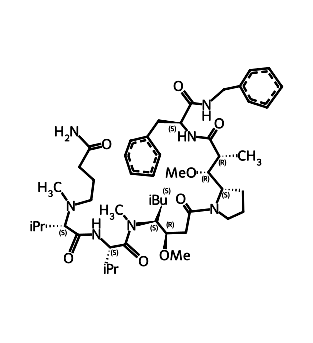 CC[C@H](C)[C@@H]([C@@H](CC(=O)N1CCC[C@H]1[C@H](OC)[C@@H](C)C(=O)N[C@@H](Cc1ccccc1)C(=O)NCc1ccccc1)OC)N(C)C(=O)[C@@H](NC(=O)[C@H](C(C)C)N(C)CCCC(N)=O)C(C)C